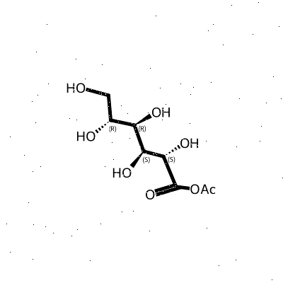 CC(=O)OC(=O)[C@@H](O)[C@@H](O)[C@H](O)[C@H](O)CO